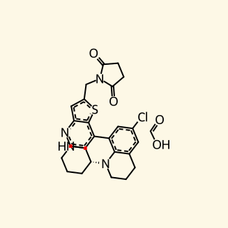 O=C1CCC(=O)N1Cc1cc2nccc(-c3cc(Cl)cc4c3N([C@@H]3CCCNC3)CCC4)c2s1.O=CO